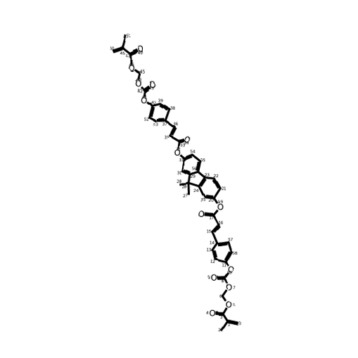 C=C(C)C(=O)OCOC(=O)Oc1ccc(C=CC(=O)Oc2ccc3c(c2)C(C)(C)c2cc(OC(=O)C=Cc4ccc(OC(=O)OCOC(=O)C(=C)C)cc4)ccc2-3)cc1